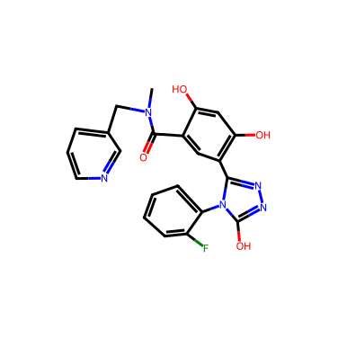 CN(Cc1cccnc1)C(=O)c1cc(-c2nnc(O)n2-c2ccccc2F)c(O)cc1O